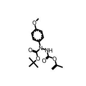 C=C(C)OC(=O)NN(C(=O)OC(C)(C)C)c1ccc(OC)cc1